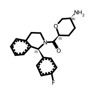 N[C@@H]1CC[C@@H](C(=O)N2CCc3ccccc3[C@@H]2c2ccc(F)cc2)OC1